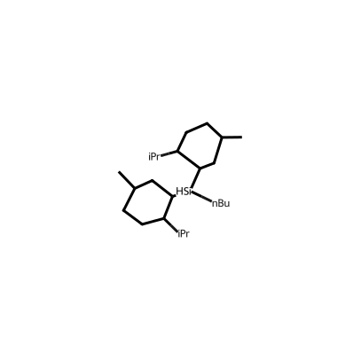 CCCC[SiH](C1CC(C)CCC1C(C)C)C1CC(C)CCC1C(C)C